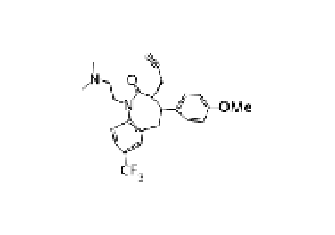 C#CC[C@@H]1C(=O)N(CCN(C)C)c2ccc(C(F)(F)F)cc2C[C@@H]1c1ccc(OC)cc1